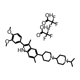 COc1ccc(-c2[nH]c3cc(C)c(C4CCN(C5CCN(C(C)C)CC5)CC4)cc3c2C)cc1OC.O=C(O)C(F)(F)F.O=C(O)C(F)(F)F